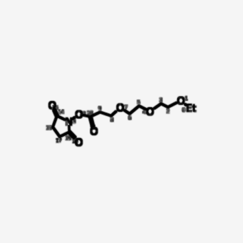 [CH2]COCCOCCOCCC(=O)ON1C(=O)CCC1=O